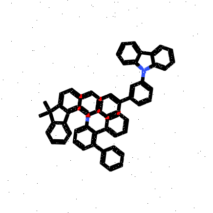 CC1(C)c2ccccc2-c2c(N(c3ccc(-c4cccc(-n5c6ccccc6c6ccccc65)c4)cc3)c3cccc(-c4ccccc4)c3-c3ccccc3-c3ccccc3)cccc21